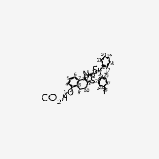 O=C(O)COc1cccc2c1CCc1sc(SC(c3ccccc3)c3ccc(F)cc3)nc1-2